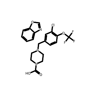 O=C(O)N1CCN(Cc2ccc(OC(F)(F)F)c(Cl)c2)CC1.c1ccc2ocnc2c1